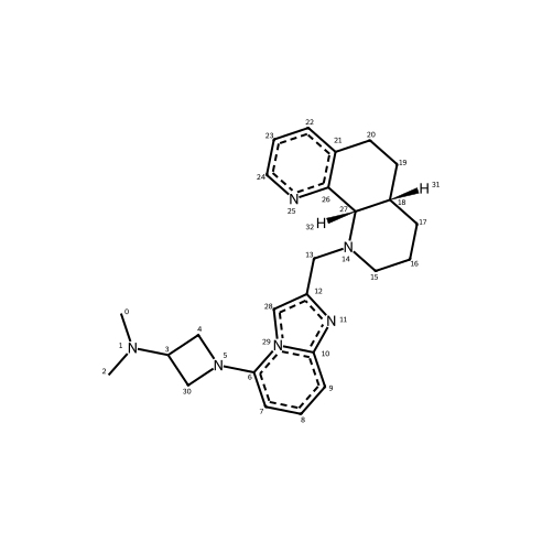 CN(C)C1CN(c2cccc3nc(CN4CCC[C@H]5CCc6cccnc6[C@H]54)cn23)C1